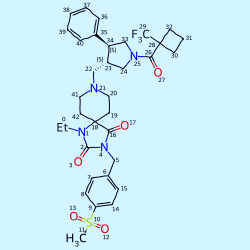 CCN1C(=O)N(Cc2ccc(S(C)(=O)=O)cc2)C(=O)C12CCN(C[C@H]1CN(C(=O)C3(C(F)(F)F)CCC3)C[C@@H]1c1ccccc1)CC2